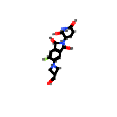 O=CC1CN(c2cc3c(cc2F)C(=O)N(C2CCC(=O)NC2=O)C3=O)C1